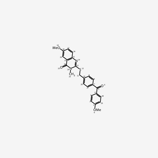 COc1ccc(C(=O)c2ccc(CSc3nc4ccc(OC)cc4c(=O)n3C)cc2)cc1